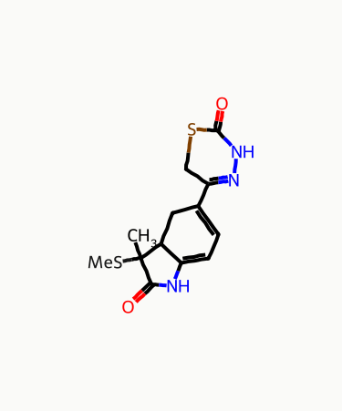 CSC1(C)C(=O)NC2=CC=C(C3=NNC(=O)SC3)CC21